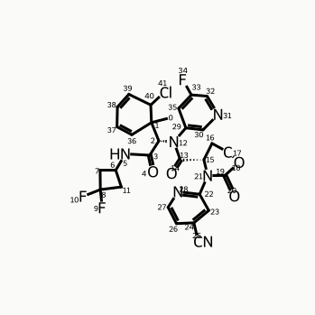 CC1([C@@H](C(=O)NC2CC(F)(F)C2)N(C(=O)[C@@H]2CCOC(=O)N2c2cc(C#N)ccn2)c2cncc(F)c2)C=CC=CC1Cl